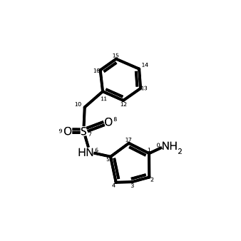 Nc1cccc(NS(=O)(=O)Cc2ccccc2)c1